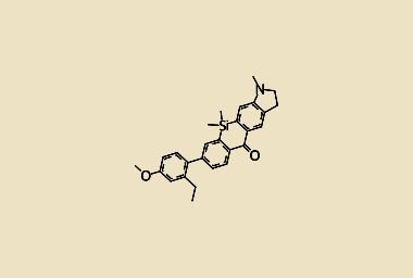 CCc1cc(OC)ccc1-c1ccc2c(c1)[Si](C)(C)c1cc3c(cc1C2=O)CCN3C